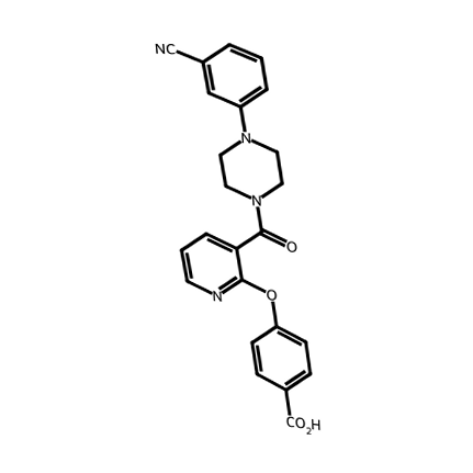 N#Cc1cccc(N2CCN(C(=O)c3cccnc3Oc3ccc(C(=O)O)cc3)CC2)c1